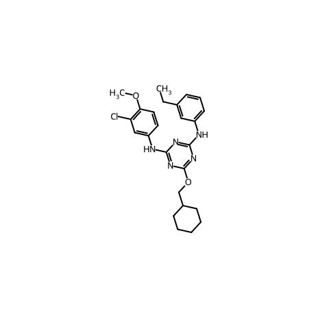 CCc1cccc(Nc2nc(Nc3ccc(OC)c(Cl)c3)nc(OCC3CCCCC3)n2)c1